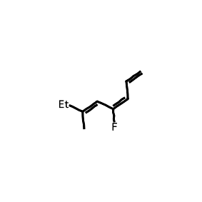 C=C/C=C(/F)C=C(C)CC